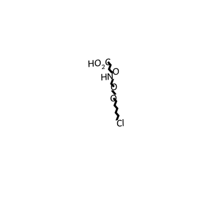 O=C(O)CCC(=O)NCCOCCOCCCCCCCl